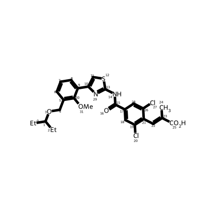 CCC(CC)OCc1cccc(-c2csc(NC(=O)c3cc(Cl)c(C=C(C)C(=O)O)c(Cl)c3)n2)c1OC